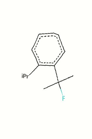 CC(C)c1ccccc1C(C)(C)F